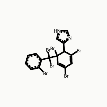 BrC1=CC(Br)(C(Br)(Br)c2ccccc2Br)C(c2c[nH]cn2)C(Br)=C1